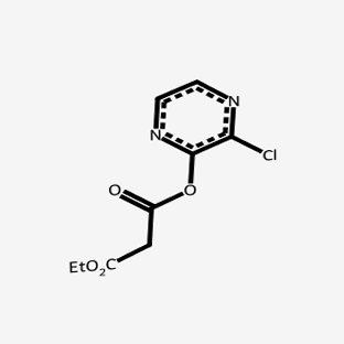 CCOC(=O)CC(=O)Oc1nccnc1Cl